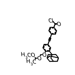 COC(C)OCOc1ccc(C#Cc2ccc(C(=O)Cl)cc2)cc1C12CC3CC(CC(C3)C1)C2